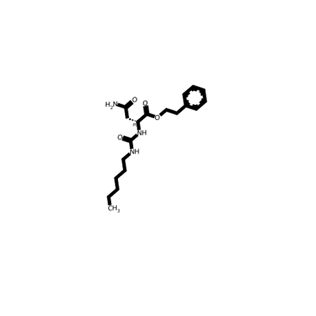 CCCCCCNC(=O)N[C@H](CC(N)=O)C(=O)OCCc1ccccc1